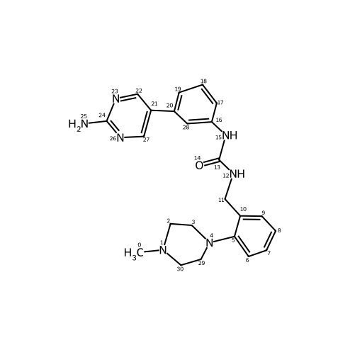 CN1CCN(c2ccccc2CNC(=O)Nc2cccc(-c3cnc(N)nc3)c2)CC1